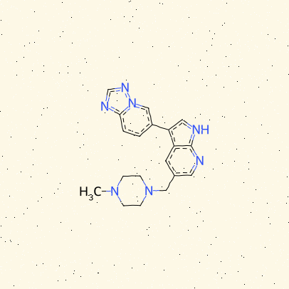 CN1CCN(Cc2cnc3[nH]cc(-c4ccc5ncnn5c4)c3c2)CC1